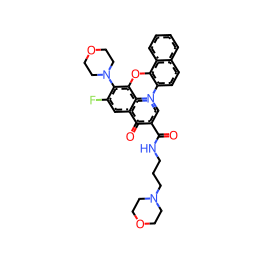 O=C(NCCCN1CCOCC1)c1cn2c3c(c(N4CCOCC4)c(F)cc3c1=O)Oc1c-2ccc2ccccc12